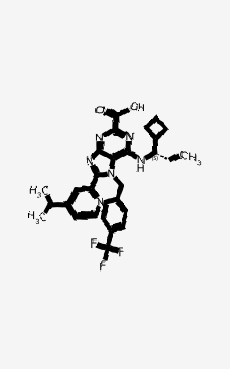 CC[C@H](Nc1nc(C(=O)O)nc2nc(-c3cc(C(C)C)ccn3)n(Cc3ccc(C(F)(F)F)cc3)c12)C1CCC1